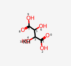 O=C(O)C(O)C(O)C(=O)O.[KH]